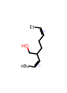 CC/C=C\CCC(/C=C\CCCC)CO